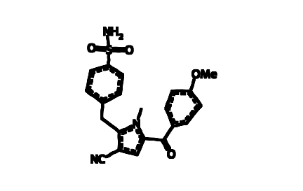 COc1ccc(C(=O)c2cc(C#N)c(Cc3ccc(S(N)(=O)=O)cc3)n2C)cc1